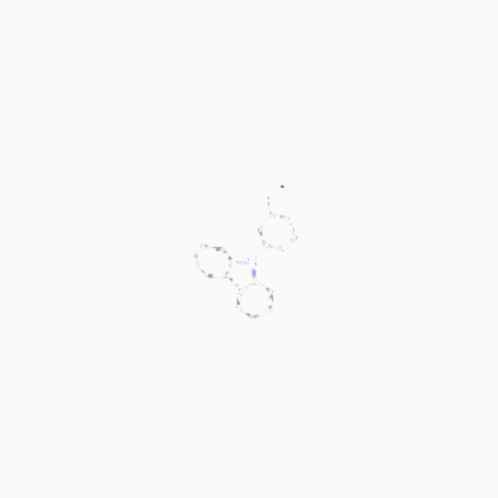 CC(C)(C)Cc1cccc(-n2c3ccccc3c3ccccc32)c1